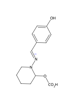 O=C(O)OC1CCCCN1/N=C/c1ccc(O)cc1